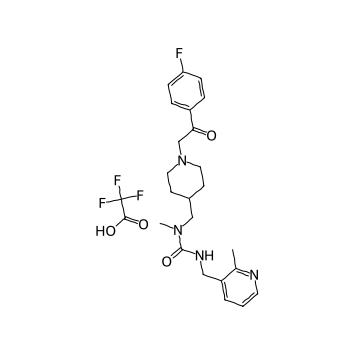 Cc1ncccc1CNC(=O)N(C)CC1CCN(CC(=O)c2ccc(F)cc2)CC1.O=C(O)C(F)(F)F